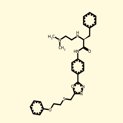 CN(C)CCN[C@@H](Cc1ccccc1)C(=O)Nc1ccc(-c2nnc(CSCCOc3ccccc3)o2)cc1